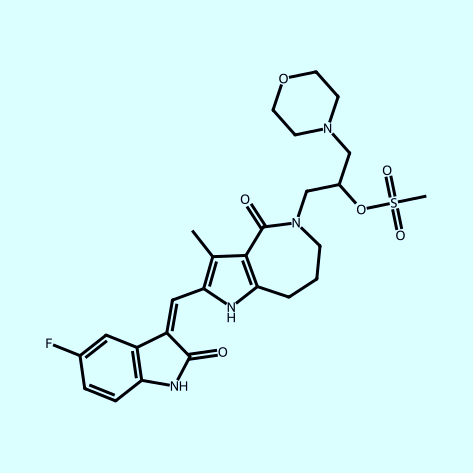 Cc1c(/C=C2\C(=O)Nc3ccc(F)cc32)[nH]c2c1C(=O)N(CC(CN1CCOCC1)OS(C)(=O)=O)CCC2